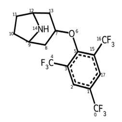 FC(F)(F)c1cc(C(F)(F)F)c(OC2C[C]3CCC(C2)N3)c(C(F)(F)F)c1